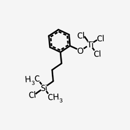 C[Si](C)(Cl)CCCc1ccccc1[O][Ti]([Cl])([Cl])[Cl]